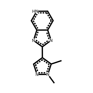 Cc1c(-c2nc3cc[nH]cc-3n2)cnn1C